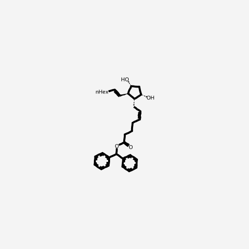 CCCCCC/C=C/[C@@H]1[C@@H](C/C=C\CCCC(=O)OC(c2ccccc2)c2ccccc2)[C@@H](O)C[C@H]1O